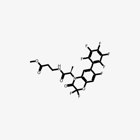 COC(=O)CCNC(=O)[C@@H](C)N1C(=O)C(F)(F)Oc2cc(F)c(-c3c(F)c(F)c(F)c(F)c3F)cc21